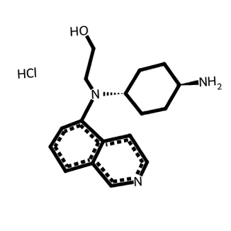 Cl.N[C@H]1CC[C@H](N(CCO)c2cccc3cnccc23)CC1